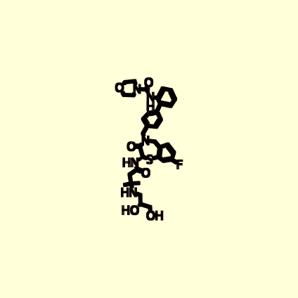 CC(C)(CC(=O)N[C@@H]1Sc2cc(F)ccc2CN(Cc2ccc(-c3ccccc3NC(=O)N3CCOCC3)cc2)C1=O)NC[C@H](O)CO